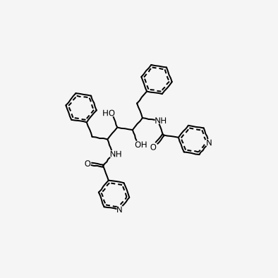 O=C(NC(Cc1ccccc1)C(O)C(O)C(Cc1ccccc1)NC(=O)c1ccncc1)c1ccncc1